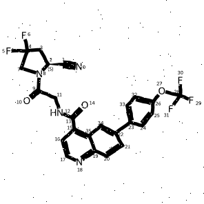 N#C[C@@H]1CC(F)(F)CN1C(=O)CNC(=O)c1ccnc2ccc(-c3ccc(OC(F)(F)F)cc3)cc12